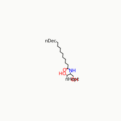 CCCCCCCCCCCCCCCCCCCC(=O)NC(CO)C(O)CCCCCCC